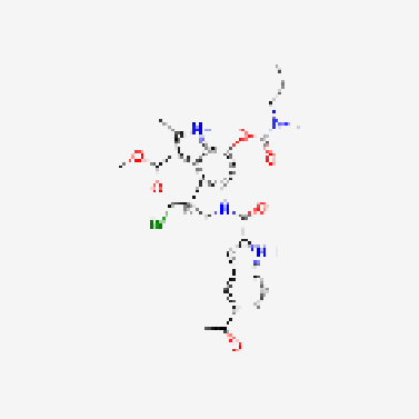 CCCN(C)C(=O)Oc1cc2c(c3c(C(=O)OC)c(C)[nH]c13)[C@H](CBr)CN2C(=O)c1cc2cc(C(C)=O)ccc2[nH]1